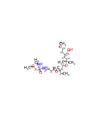 CCC(C)(CCOC(C)(C)CC[C@H](CO)CCOC)OCCCCNC(=O)[C@H](COC)NC